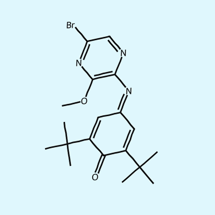 COc1nc(Br)cnc1N=C1C=C(C(C)(C)C)C(=O)C(C(C)(C)C)=C1